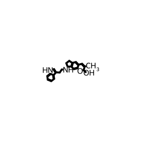 CC(=Cc1ccc2c(c1)CCC2NCCc1c[nH]c2ccccc12)C(=O)O